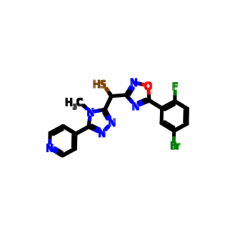 Cn1c(-c2ccncc2)nnc1C(S)c1noc(-c2cc(Br)ccc2F)n1